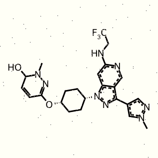 CN1N=C(O[C@H]2CC[C@@H](n3nc(-c4cnn(C)c4)c4cnc(NCC(F)(F)F)cc43)CC2)C=CC1O